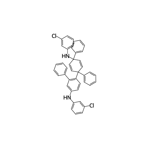 Clc1cccc(Nc2ccc(C3(c4ccccc4)C=CC(Nc4cccc(Cl)c4)(c4ccccc4)C=C3)c(-c3ccccc3)c2)c1